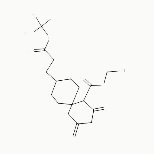 CCOC(=O)C1C(=O)CC(=O)CC12CCC(CCC(=O)OC(C)(C)C)CC2